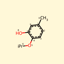 Cc1ccc(OC(C)C)c(O)c1